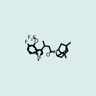 CC(CC(=O)N1C2CC3(C)CC1CC(C)(C2)C3)c1cn(C)c2ccc(F)c(OC(F)(F)F)c12